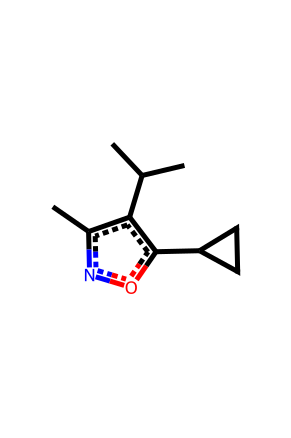 Cc1noc(C2CC2)c1C(C)C